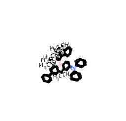 CC1(C)c2cc(N(c3ccccc3)c3ccccc3)ccc2B2C3=C([Si](C)(C)C4=C3c3ccccc3[Si]4(C)C)[Si](C)(C)c3cc(-c4ccccc4)cc1c32